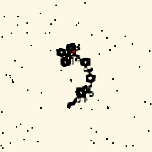 CCCCOc1ccc2c(c1F)C(=O)N(C[C@H]1CC[C@H](C(C)Oc3cccc(OC[C@H](NC(c4ccccc4)(c4ccccc4)c4ccccc4)C(=O)OC)c3)CC1)C2